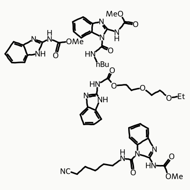 CCCCNC(=O)n1c(NC(=O)OC)nc2ccccc21.CCOCCOCCOC(=O)Nc1nc2ccccc2[nH]1.COC(=O)Nc1nc2ccccc2[nH]1.COC(=O)Nc1nc2ccccc2n1C(=O)NCCCCCC#N